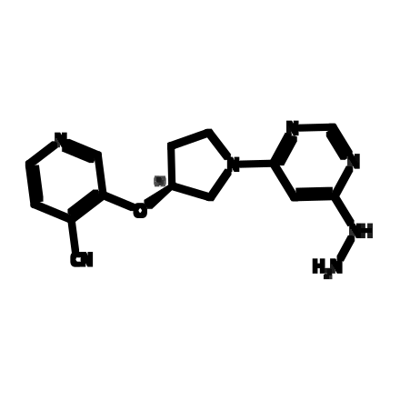 N#Cc1ccncc1O[C@H]1CCN(c2cc(NN)ncn2)C1